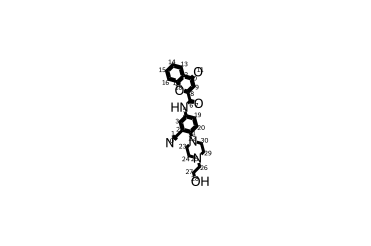 N#Cc1cc(NC(=O)c2cc(=O)c3ccccc3o2)ccc1N1CCN(CCO)CC1